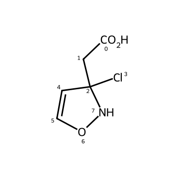 O=C(O)CC1(Cl)C=CON1